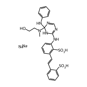 CN(CCO)C1(Nc2ccccc2)N=CN=C(Nc2cccc(C=Cc3ccccc3S(=O)(=O)O)c2S(=O)(=O)O)N1.[Na].[Na]